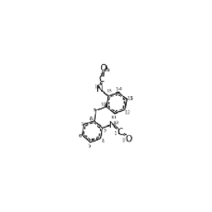 O=C=Nc1ccccc1[CH]c1ccccc1N=C=O